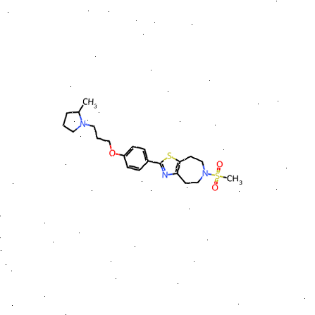 CC1CCCN1CCCOc1ccc(-c2nc3c(s2)CCN(S(C)(=O)=O)CC3)cc1